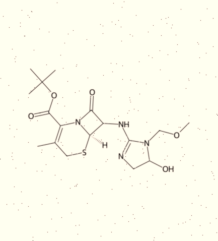 COCN1C(NC2C(=O)N3C(C(=O)OC(C)(C)C)=C(C)CS[C@H]23)=NCC1O